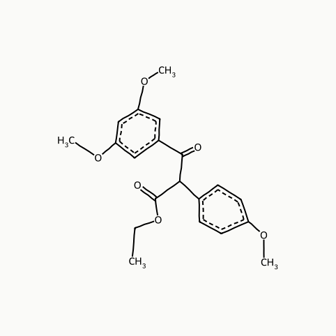 CCOC(=O)C(C(=O)c1cc(OC)cc(OC)c1)c1ccc(OC)cc1